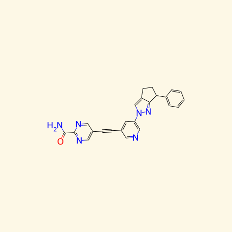 NC(=O)c1ncc(C#Cc2cncc(-n3cc4c(n3)C(c3ccccc3)CC4)c2)cn1